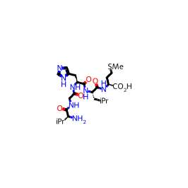 CSCC[C@H](NC(=O)[C@H](CC(C)C)NC(=O)[C@H](Cc1cnc[nH]1)NC(=O)CNC(=O)[C@@H](N)C(C)C)C(=O)O